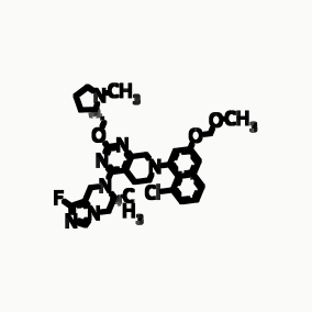 COCOc1cc(N2CCc3c(nc(OC[C@@H]4CCCN4C)nc3N3Cc4c(F)ncn4C[C@H]3C)C2)c2c(Cl)cccc2c1